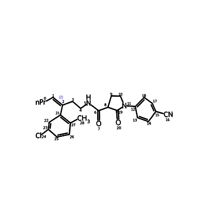 CCC/C=C(/CCNC(=O)C1CCN(c2ccc(C#N)cc2)C1=O)c1cc(Cl)ccc1C